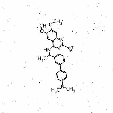 COc1cc2nc(C3CC3)nc(NC(C)c3cccc(-c4ccc(N(C)C)cc4)c3)c2cc1OC